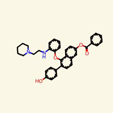 O=C(Oc1ccc2c(Oc3ccccc3NCCN3CCCCC3)c(-c3ccc(O)cc3)ccc2c1)c1ccccc1